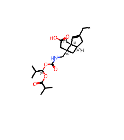 CCC1=C[C@@H]2[C@@H](C1)C[C@]2(CNC(=O)O[C@@H](OC(=O)C(C)C)C(C)C)CC(=O)O